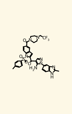 Cc1ccc(S(=O)(=O)n2c(C(=O)c3cnn(-c4ccc5[nH]c(C)nc5c4)c3N)cc3cc(C(=O)N4CCN(CC(F)(F)F)CC4)ccc32)cc1